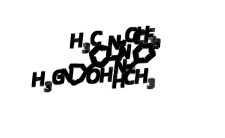 Cc1nc(N[C@H](C)c2cccc(C(F)(F)F)c2)c2cc(C3(O)CCN(C)CC3)cc(C)c2n1